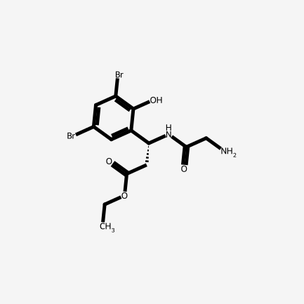 CCOC(=O)C[C@@H](NC(=O)CN)c1cc(Br)cc(Br)c1O